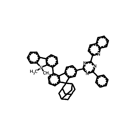 C[Si]1(C)c2ccccc2-c2cccc(-c3cccc4c3-c3ccc(-c5nc(-c6ccccc6)nc(-c6ccc7ccccc7n6)n5)cc3C43C4CC5CC(C4)CC3C5)c21